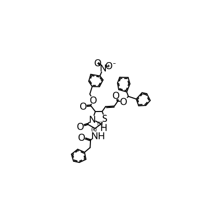 O=C(Cc1ccccc1)N[C@@H]1C(=O)N2C(C(=O)OCc3ccc([N+](=O)[O-])cc3)C(C=CC(=O)OC(c3ccccc3)c3ccccc3)S[C@@H]12